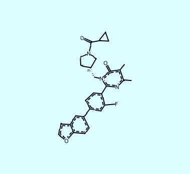 Cc1nc(-c2ccc(-c3ccc4occc4c3)cc2F)n(C[C@@H]2CCN(C(=O)C3CC3)C2)c(=O)c1C